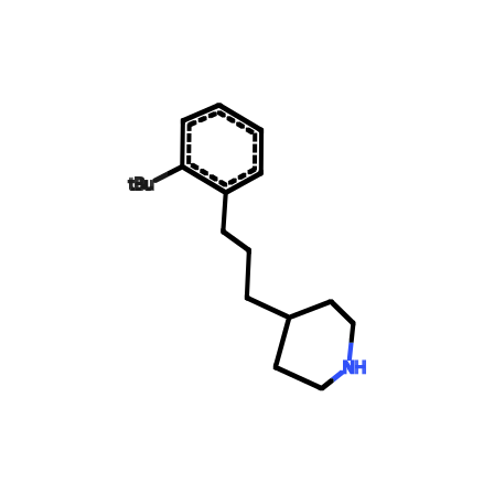 CC(C)(C)c1ccccc1CCCC1CCNCC1